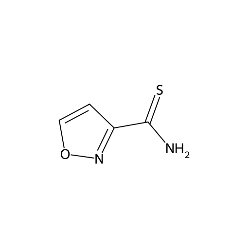 NC(=S)c1ccon1